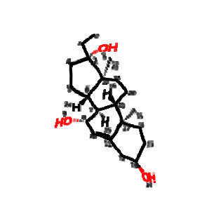 CC[C@]1(O)CC[C@H]2[C@@H]3[C@@H](O)C=C4C[C@H](O)CC[C@]4(C)[C@H]3CC[C@@]21C